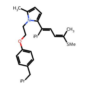 CS/C(C)=C/C=C(/c1ccc(C)n1CCOc1ccc(CC(C)C)cc1)C(C)C